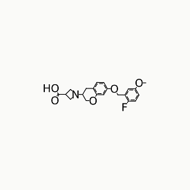 COc1ccc(F)c(COc2ccc3c(c2)OCC(N2CC(C(=O)O)C2)C3)c1